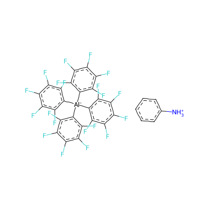 Fc1c(F)c(F)[c]([Al-]([c]2c(F)c(F)c(F)c(F)c2F)([c]2c(F)c(F)c(F)c(F)c2F)[c]2c(F)c(F)c(F)c(F)c2F)c(F)c1F.[NH3+]c1ccccc1